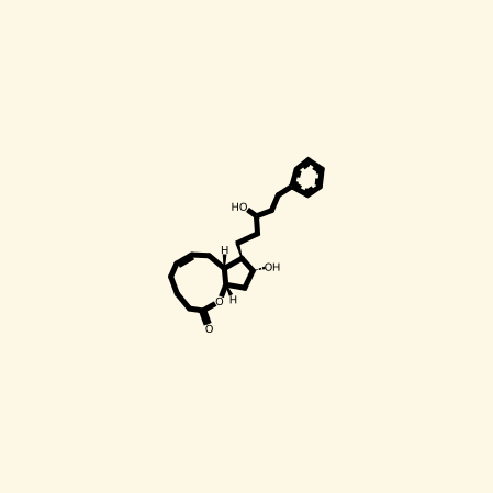 O=C1CCCC=CC[C@@H]2[C@@H](CCC(O)CCc3ccccc3)[C@H](O)C[C@@H]2O1